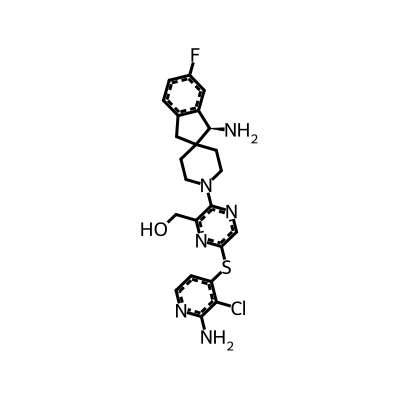 Nc1nccc(Sc2cnc(N3CCC4(CC3)Cc3ccc(F)cc3[C@H]4N)c(CO)n2)c1Cl